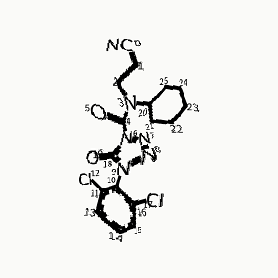 N#CCCN(C(=O)n1nnn(-c2c(Cl)cccc2Cl)c1=O)C1CCCCC1